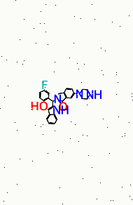 O=C1c2cc(N3CCNCC3)ccc2CN1C(c1cc2ccccc2[nH]1)c1cc(F)ccc1O